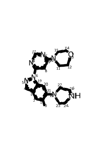 Cc1cc2cnn(-c3cc(N4CCOCC4)ncn3)c2cc1N1CCNCC1